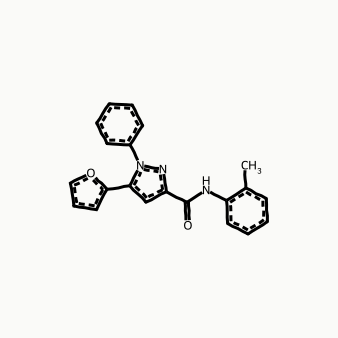 Cc1ccccc1NC(=O)c1cc(-c2ccco2)n(-c2ccccc2)n1